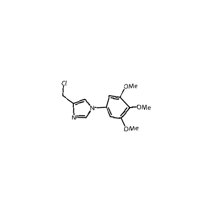 COc1cc(-n2cnc(CCl)c2)cc(OC)c1OC